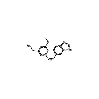 COc1cc(/C=C\c2ccc3nc[nH]c3c2)cc(CO)c1